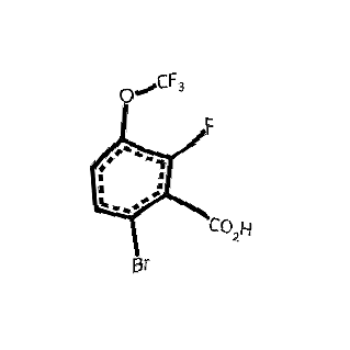 O=C(O)c1c(Br)ccc(OC(F)(F)F)c1F